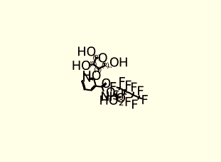 NC(=O)c1cccnc1.O=S(=O)(O)C(F)(F)C(F)(F)C(F)(F)C(F)(F)F.OC[C@H]1O[C@@H](O)[C@H](O)[C@@H]1O